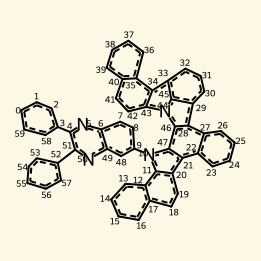 c1ccc(-c2nc3ccc(-n4c5c6ccccc6ccc5c5c6ccccc6c6c7cccc8c9c%10ccccc%10ccc9n(c87)c6c54)cc3nc2-c2ccccc2)cc1